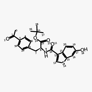 CC(=O)c1ccc(C[C@H](NC(=O)c2csc3cc(O)ccc23)C(=O)OC(C)(C)C)cc1